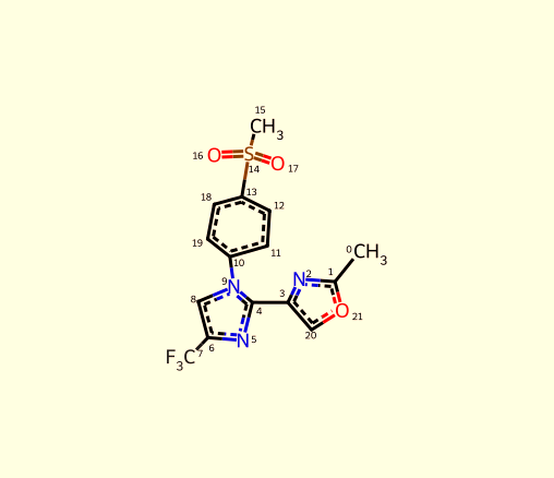 Cc1nc(-c2nc(C(F)(F)F)cn2-c2ccc(S(C)(=O)=O)cc2)co1